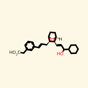 O=C(O)Cc1cccc(/C=C/C[C@H]2C3CC[C@H](O3)[C@H]2C=CC(O)C2CCCCC2)c1